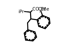 CCOC(=O)C(C(C)C)C(Cc1ccccc1)c1ccccc1OC